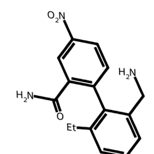 CCc1cccc(CN)c1-c1ccc([N+](=O)[O-])cc1C(N)=O